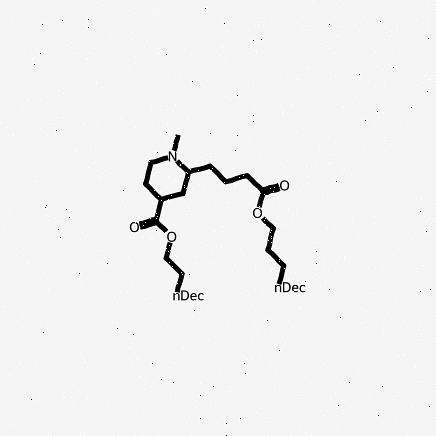 CCCCCCCCCCCCCOC(=O)CCCC1CC(C(=O)OCCCCCCCCCCCC)CCN1C